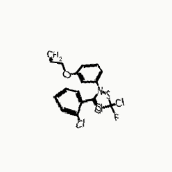 C=CCOc1cccc(N(SC(F)(Cl)Cl)C(=O)c2ccccc2Cl)c1